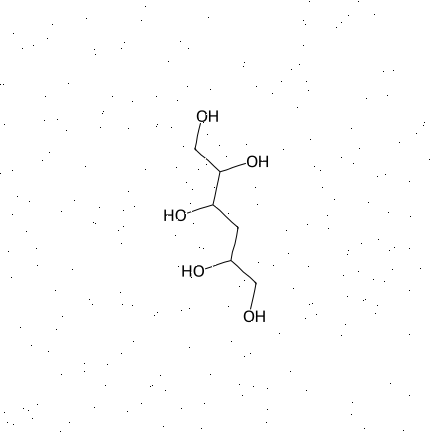 OCC(O)CC(O)C(O)CO